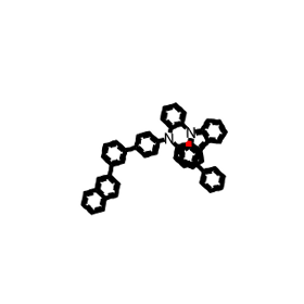 c1ccc(-c2ccc(N(c3ccc(-c4cccc(-c5ccc6ccccc6c5)c4)cc3)c3ccccc3-n3c4ccccc4c4ccccc43)cc2)cc1